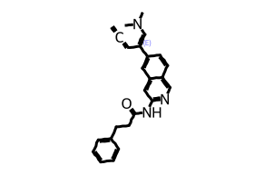 C=C=C/C(=C\N(C)C)c1ccc2cnc(NC(=O)CCc3ccccc3)cc2c1